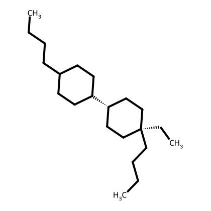 CCCCC1CCC([C@H]2CC[C@](CC)(CCCC)CC2)CC1